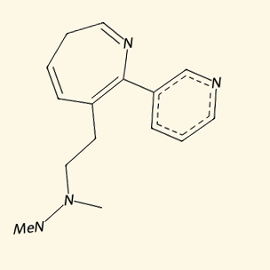 CNN(C)CCC1=C(c2cccnc2)N=CCC=C1